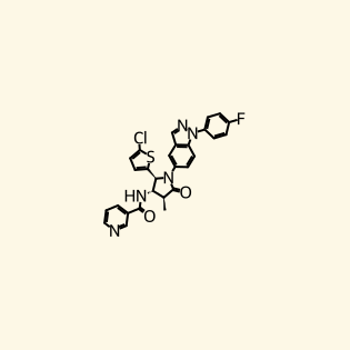 C[C@@H]1C(=O)N(c2ccc3c(cnn3-c3ccc(F)cc3)c2)[C@H](c2ccc(Cl)s2)[C@H]1NC(=O)c1cccnc1